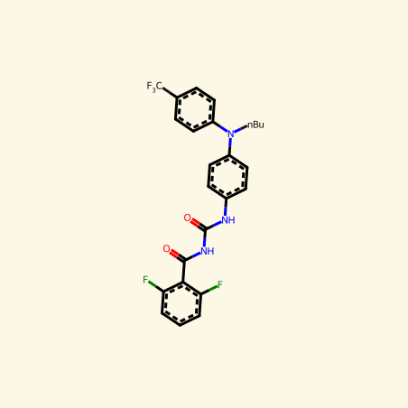 CCCCN(c1ccc(NC(=O)NC(=O)c2c(F)cccc2F)cc1)c1ccc(C(F)(F)F)cc1